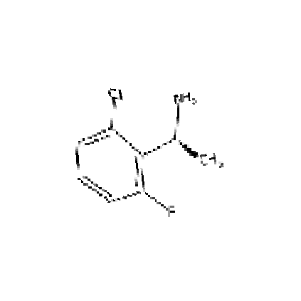 C[C@H](N)c1c(F)cccc1Cl